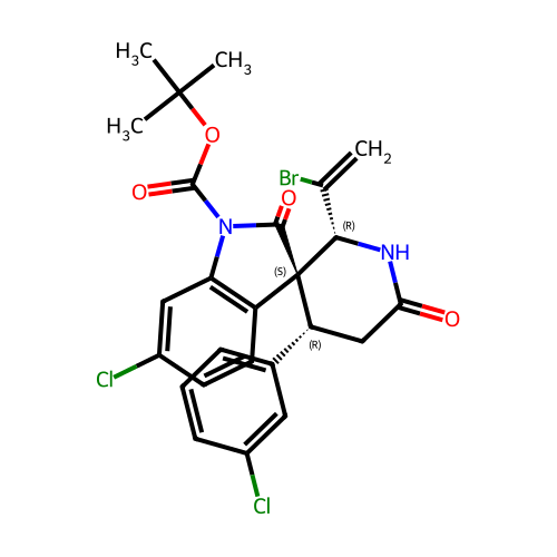 C=C(Br)[C@@H]1NC(=O)C[C@H](c2cccc(Cl)c2)[C@@]12C(=O)N(C(=O)OC(C)(C)C)c1cc(Cl)ccc12